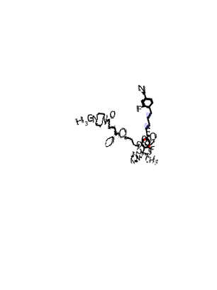 C[C@@H](S[C@H]1CO[C@H](/C=C/C=C/c2ccc(C#N)cc2F)OC1)[C@@](Cn1cncn1)(OC(=O)CCCOC(=O)CCC(=O)N1CCN(C)CC1)c1ccc(F)cc1F